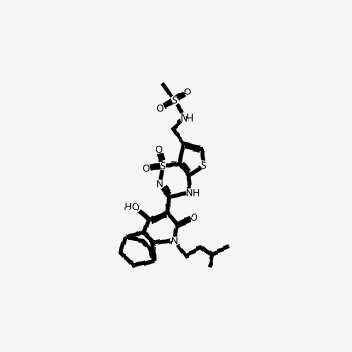 CC(C)CCN1C(=O)C(C2=NS(=O)(=O)c3c(CNS(C)(=O)=O)csc3N2)=C(O)C2C3CCC(CC3)C21